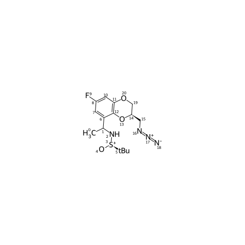 CC(N[S@+]([O-])C(C)(C)C)c1cc(F)cc2c1O[C@H](CN=[N+]=[N-])CO2